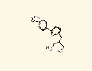 CCC(CC)Cc1ccc(-c2ccc(OC)cc2)s1